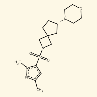 Cc1cc(S(=O)(=O)N2CC3(CC[C@H](N4CCOCC4)C3)C2)n(C)n1